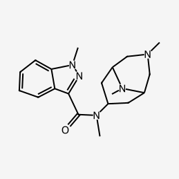 CN1CC2CC(N(C)C(=O)c3nn(C)c4ccccc34)CC(C1)N2C